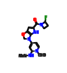 CNNC1C=C(N2COc3cc(C(=O)N4CCC4F)[nH]c32)C=CN1C=O